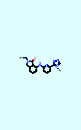 CC(C)CN1Cc2cccc(Nc3cccc(-c4nncn4C(C)C)n3)c2C1=O